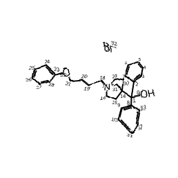 OC(c1ccccc1)(c1ccccc1)C12CC[N+](CCCCOc3ccccc3)(CC1)C2.[Br-]